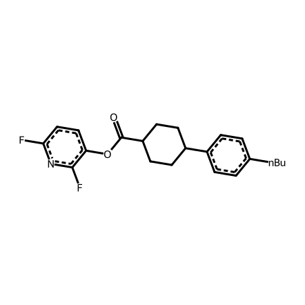 CCCCc1ccc(C2CCC(C(=O)Oc3ccc(F)nc3F)CC2)cc1